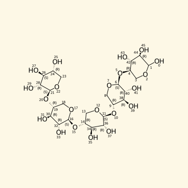 OC1OC[C@@H](O[C@@H]2OC[C@@H](O[C@@H]3OC[C@@H](O[C@@H]4OC[C@@H](O[C@@H]5OC[C@@H](O)[C@H](O)[C@H]5O)[C@H](O)[C@H]4O)[C@H](O)[C@H]3O)[C@H](O)[C@H]2O)[C@H](O)[C@H]1O